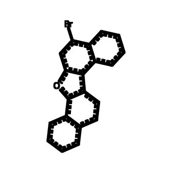 Brc1cc2oc3c4ccccc4ccc3c2c2ccccc12